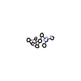 c1ccc(-c2cc(-c3ccccn3)nc(-c3ccccc3-c3ccc4c(c3)C3(c5ccccc5-4)c4ccccc4-n4c5ccccc5c5cccc3c54)n2)cc1